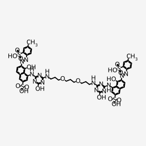 Cc1ccc(N=Nc2ccc3cc(S(=O)(=O)O)cc(Nc4nc(O)nc(NCCCOCCCOCCCNc5nc(O)nc(Nc6cc(S(=O)(=O)O)cc7ccc(N=Nc8ccc(C)cc8S(=O)(=O)O)c(O)c67)n5)n4)c3c2O)c(S(=O)(=O)O)c1